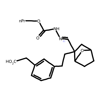 CCCOC(=O)N/N=C/C1(CCc2cccc(CC(=O)O)c2)CC2CCC1O2